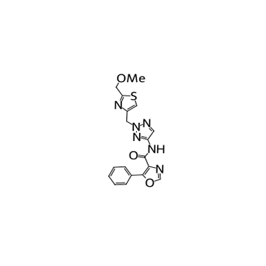 COCc1nc(Cn2ncc(NC(=O)c3ncoc3-c3ccccc3)n2)cs1